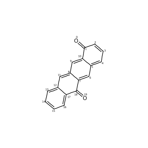 O=C1C=CC=c2cc3c(cc21)=Cc1ccccc1C3=O